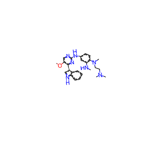 CNc1cc(Nc2ncc(OC)c(-c3c[nH]c4ccccc34)n2)ccc1N(C)CCN(C)C